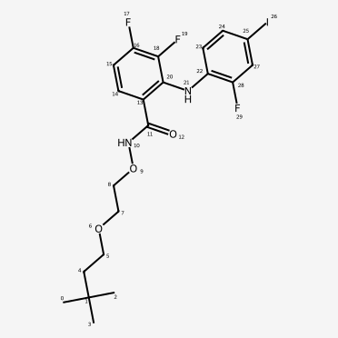 CC(C)(C)CCOCCONC(=O)c1ccc(F)c(F)c1Nc1ccc(I)cc1F